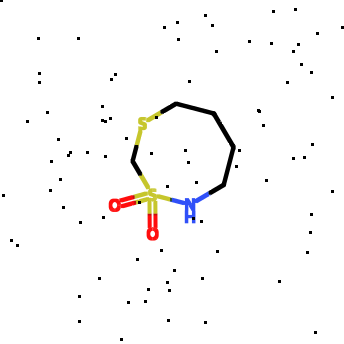 O=S1(=O)CSCCCCN1